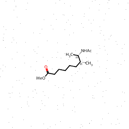 COC(=O)CCCCC[C@@H](C)[C@H](C)NC(C)=O